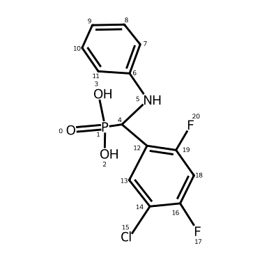 O=P(O)(O)C(Nc1ccccc1)c1cc(Cl)c(F)cc1F